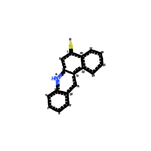 S=c1cc2[nH]c3ccccc3cc-2c2ccccc12